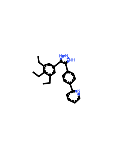 CCc1cc(-c2nn[nH]c2-c2ccc(-c3ccccn3)cc2)cc(CC)c1CC